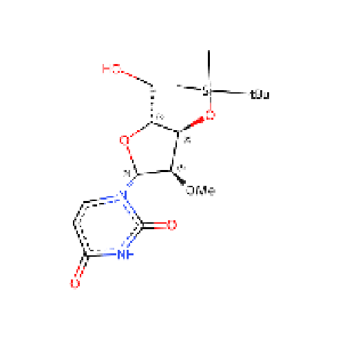 CO[C@@H]1[C@H](O[Si](C)(C)C(C)(C)C)[C@@H](CO)O[C@H]1n1ccc(=O)[nH]c1=O